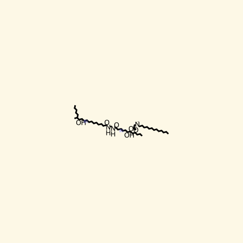 CCCCCCCCCCCCCN(C)CC(=O)OC(CCCCC)C(O)C/C=C/CC(=O)NCNC(=O)CCCCCCC/C=C/CC(O)C(C)CCCCC